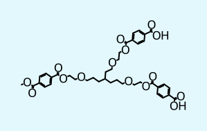 COC(=O)c1ccc(C(=O)OCCOCCCC(CCCOCCOC(=O)c2ccc(C(=O)O)cc2)CCOCCOC(=O)c2ccc(C(=O)O)cc2)cc1